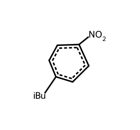 [CH2]C(CC)c1ccc([N+](=O)[O-])cc1